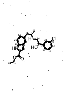 CCOC(=O)c1cc2cc(C[C@@H](C)NC[C@H](O)c3cccc(Cl)c3)ccc2[nH]1